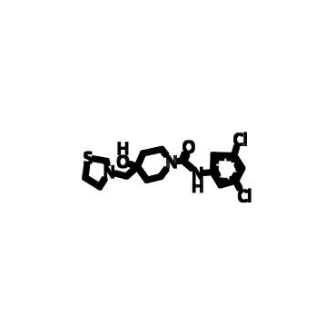 O=C(Nc1cc(Cl)cc(Cl)c1)N1CCC(O)(CN2CCSC2)CC1